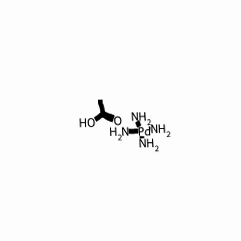 CC(=O)O.[NH2][Pd]([NH2])([NH2])[NH2]